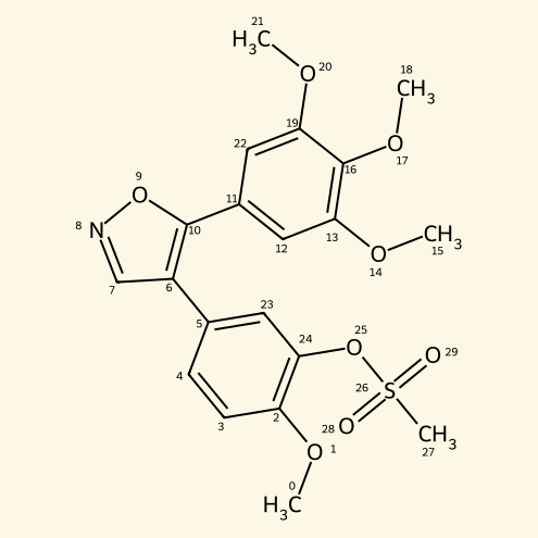 COc1ccc(-c2cnoc2-c2cc(OC)c(OC)c(OC)c2)cc1OS(C)(=O)=O